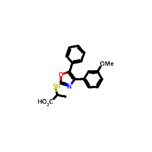 CC(S)C(=O)O.COc1cccc(-c2ncoc2-c2ccccc2)c1